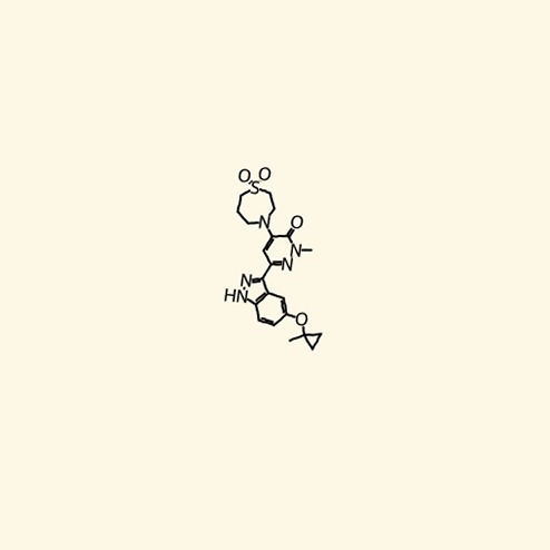 Cn1nc(-c2n[nH]c3ccc(OC4(C)CC4)cc23)cc(N2CCCS(=O)(=O)CC2)c1=O